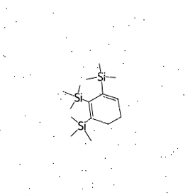 C[Si](C)(C)C1=CCCC([Si](C)(C)C)=C1[Si](C)(C)C